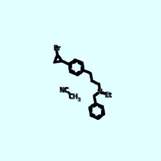 CC#N.CCN(CCCc1ccc(C2CC2Br)cc1)Cc1ccccc1